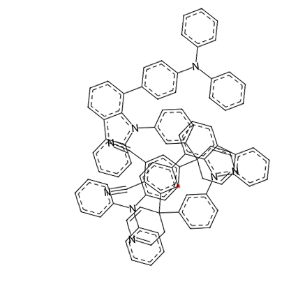 N#Cc1cc(C2(c3cccc(-n4c5ccccc5c5cccc(-c6ccc(N(c7ccccc7)c7ccccc7)cc6)c54)c3)C=CN=CC2)cc(C2(c3cccc(-n4c5ccccc5c5cccc(-c6ccc(N(c7ccccc7)c7ccccc7)cc6)c54)c3)C=CN=CC2)c1C#N